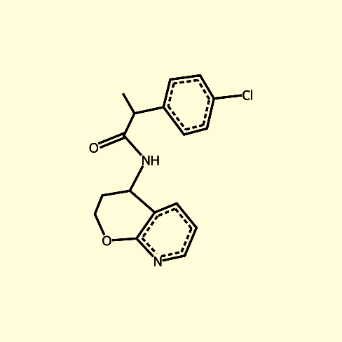 CC(C(=O)NC1CCOc2ncccc21)c1ccc(Cl)cc1